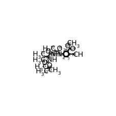 C#Cc1ccc(NC(=O)C(C)NC(=O)C(NC(=O)OC(C)(C)C)C(C)C)cc1C(=O)OC